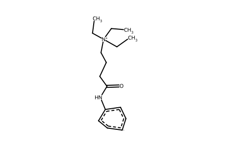 CC[N+](CC)(CC)CCCC(=O)Nc1cc[c]cc1